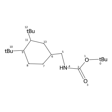 CC(C)(C)OC(=O)NCC1CCC(C(C)(C)C)C(C(C)(C)C)C1